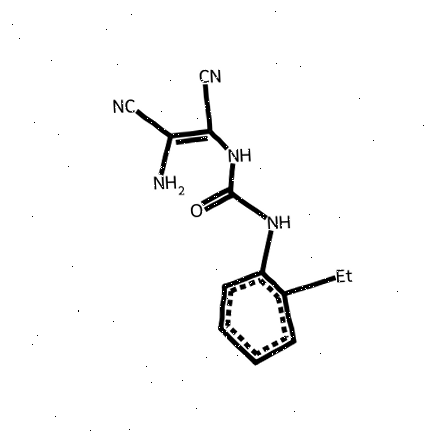 CCc1ccccc1NC(=O)NC(C#N)=C(N)C#N